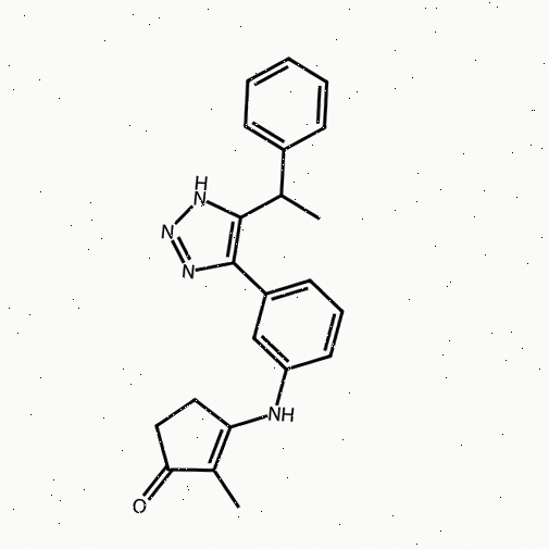 CC1=C(Nc2cccc(-c3nn[nH]c3C(C)c3ccccc3)c2)CCC1=O